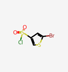 O=S(=O)(Cl)c1csc(Br)c1